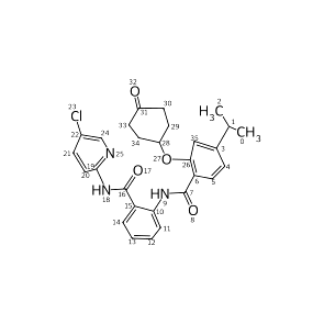 CC(C)c1ccc(C(=O)Nc2ccccc2C(=O)Nc2ccc(Cl)cn2)c(OC2CCC(=O)CC2)c1